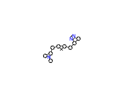 CC1(C)c2cc(-c3cccc(-c4ccc5c6ccccc6c6nccnc6c5c4)c3)ccc2-c2ccc(-c3cccc(-c4ccc5c(c4)c4ccccc4n5-c4ccccc4)c3)cc21